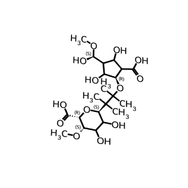 CO[C@H](O)C1C(O)C(C(=O)O)[C@@H](OC(C)(C)C(C)(C)[C@@H]2O[C@@H](C(=O)O)[C@@H](OC)C(O)C2O)C1O